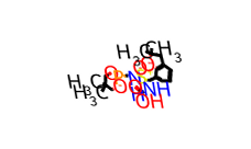 CC1(C)COP(CN[S+]([O-])C(NC(=O)O)c2cccc3c2OC(C)(C)C3)OC1